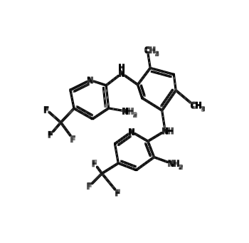 Cc1cc(C)c(Nc2ncc(C(F)(F)F)cc2N)cc1Nc1ncc(C(F)(F)F)cc1N